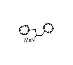 [CH2-][NH2+]C(Cc1ccccc1)Cc1ccccc1